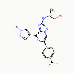 C[C@@H](CO)Nc1nc2c(-c3cnn(C)c3)nc(-c3ccc(C(F)F)cc3)cn2n1